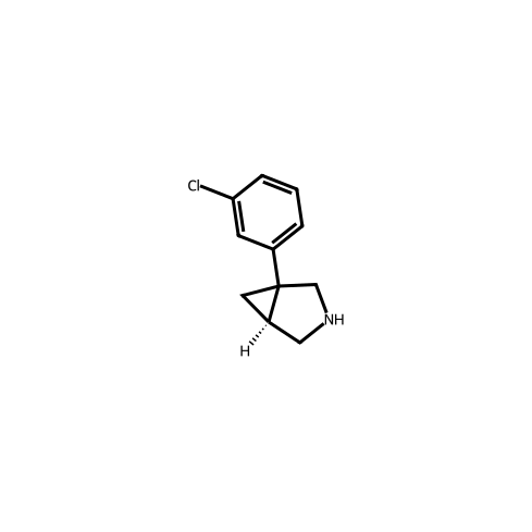 Clc1cccc(C23CNC[C@H]2C3)c1